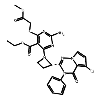 CCOC(=O)c1c(SCC(=O)OC)nc(N)nc1N1CC[C@H]1c1nn2ccc(Cl)c2c(=O)n1-c1ccccc1